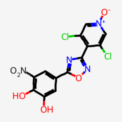 O=[N+]([O-])c1cc(-c2nc(-c3c(Cl)c[n+]([O-])cc3Cl)no2)cc(O)c1O